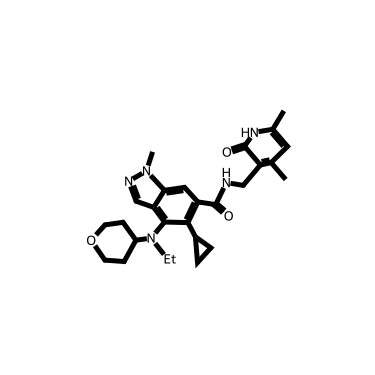 CCN(c1c(C2CC2)c(C(=O)NCc2c(C)cc(C)[nH]c2=O)cc2c1cnn2C)C1CCOCC1